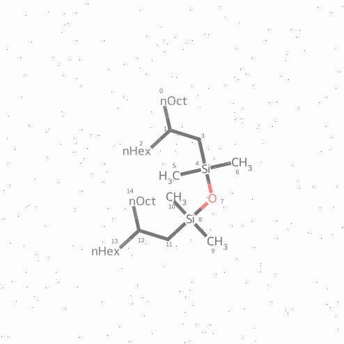 CCCCCCCCC(CCCCCC)C[Si](C)(C)O[Si](C)(C)CC(CCCCCC)CCCCCCCC